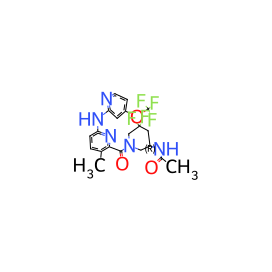 CC(=O)N[C@H]1CN(C(=O)c2nc(Nc3cc(OC(F)(F)F)ccn3)ccc2C)CC(F)(F)C1